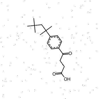 CC(C)(C)CC(C)(C)c1ccc(C(=O)CCC(=O)O)cc1